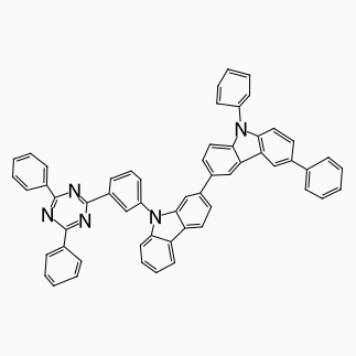 c1ccc(-c2ccc3c(c2)c2cc(-c4ccc5c6ccccc6n(-c6cccc(-c7nc(-c8ccccc8)nc(-c8ccccc8)n7)c6)c5c4)ccc2n3-c2ccccc2)cc1